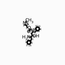 Cc1ncc(COC(=O)N[C@@H](Cc2ccccc2)C[C@H](O)[C@@H](N)Cc2ccccc2)s1